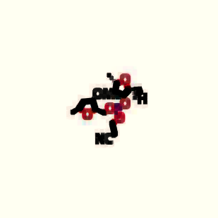 [2H]C[C@H]1O[C@@H](C)C[C@H]1OP(OCCC#N)OC[C@H]1O[C@@H](C)C[C@H]1OC